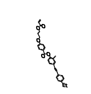 C=CC(=O)OCCCOc1ccc(C(=O)Oc2ccc(C#Cc3ccc(CC)cc3)cc2C)cc1